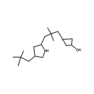 CC(C)(C)CC1CNC(CC(C)(C)CN2CC(O)C2)C1